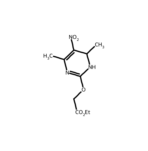 CCOC(=O)COC1=NC(C)=C([N+](=O)[O-])C(C)N1